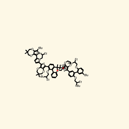 CCCCC(CC)COc1ccc(-c2sc(C(C)(C)C(C)(C)c3ccc(-c4sc(-c5ccc(-c6sc(C(C)(C)C)c7c6OCC(C)(C)CO7)n5CC(CC)CCCC)c5c4OCC(C)(C)CO5)c(OCC(CC)CCCC)c3-c3ccccc3OCC(CC)CCCC)c3c2OCCO3)cc1-c1cc(C(C)(C)C)ccc1OCC(CC)CCCC